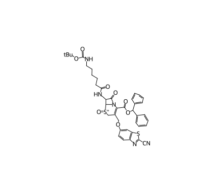 CC(C)(C)OC(=O)NCCCCCC(=O)NC1C(=O)N2C(C(=O)OC(c3ccccc3)c3ccccc3)=C(COc3ccc4nc(C#N)sc4c3)C[S+]([O-])C12